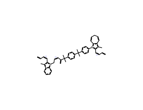 C=C/C=C\c1c(C)c2c(n1-c1ccc(C(C)(C)c3ccc(C(C)(C)C(=C)/C=C\Cn4c(/C=C\C=C)c(C)c5ccccc54)cc3)cc1)C=CCC=C2